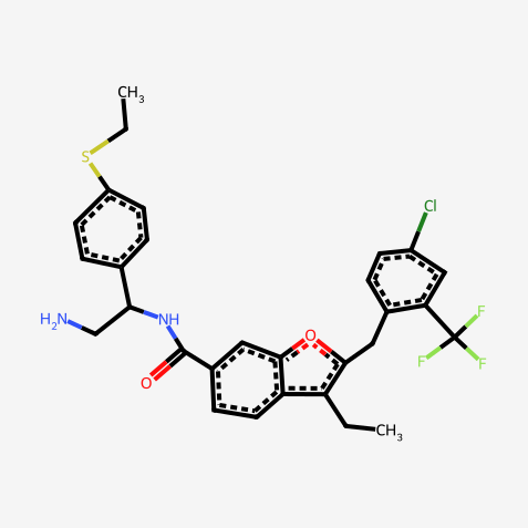 CCSc1ccc(C(CN)NC(=O)c2ccc3c(CC)c(Cc4ccc(Cl)cc4C(F)(F)F)oc3c2)cc1